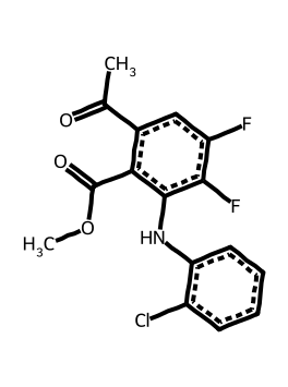 COC(=O)c1c(C(C)=O)cc(F)c(F)c1Nc1ccccc1Cl